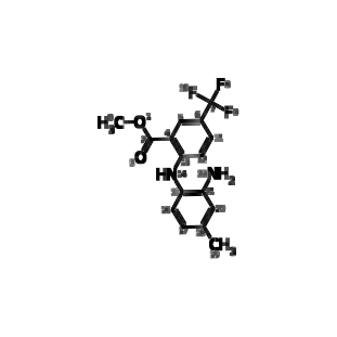 COC(=O)c1cc(C(F)(F)F)ccc1Nc1ccc(C)cc1N